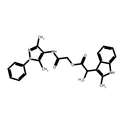 Cc1nn(-c2ccccc2)c(C)c1NC(=O)COC(=O)C(C)c1c(C)[nH]c2ccccc12